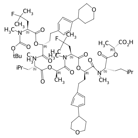 CC(C)CC[C@@H](C(=O)O[C@H](C)C(=O)O)N(C)C(=O)[C@@H](CCc1ccc(C2CCOCC2)cc1)OC(=O)[C@H](CC(C)(C)F)N(C)C(=O)[C@@H](C)OC(=O)[C@H](CC(C)C)N(C)C(=O)[C@@H](CCc1ccc(C2CCOCC2)cc1)OC(=O)[C@H](CC(C)(C)F)N(C)C(=O)OC(C)(C)C